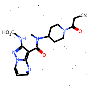 CN(C(=O)c1c(NC(=O)O)nn2cccnc12)C1CCN(C(=O)CC#N)CC1